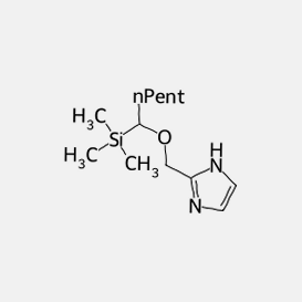 CCCCCC(OCc1ncc[nH]1)[Si](C)(C)C